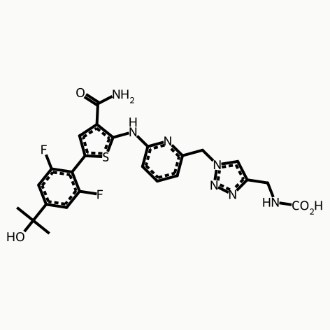 CC(C)(O)c1cc(F)c(-c2cc(C(N)=O)c(Nc3cccc(Cn4cc(CNC(=O)O)nn4)n3)s2)c(F)c1